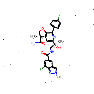 Cn1cc2cc(C(=O)NC[C@](O)(c3cc4c(c(-c5ccc(F)cc5)n3)OC[C@]4(C)C(N)=O)C(F)(F)F)cc(F)c2n1